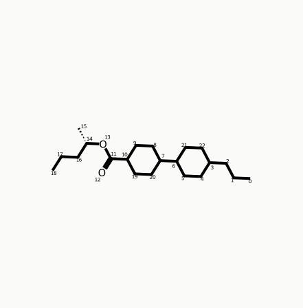 CCCC1CCC(C2CCC(C(=O)O[C@@H](C)CCC)CC2)CC1